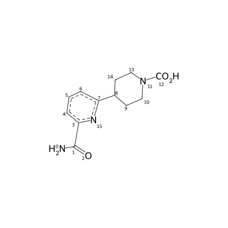 NC(=O)c1cccc(C2CCN(C(=O)O)CC2)n1